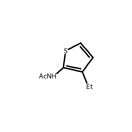 CCc1ccsc1NC(C)=O